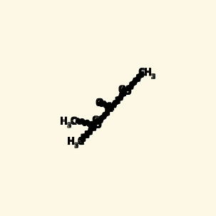 CCCCCCCCCOC(=O)CCCCCCCN(CCCC=O)CCCCCCCC(=O)OC(CCCCCCCC)CCCCCCCC